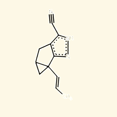 CC=CC12CC1Cc1c2n[nH]c1C#N